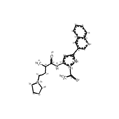 CC(=O)n1nc(-c2cnc3ccccc3c2)cc1NC(=O)C(C)CCN1CCCC1